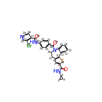 O=C(NC1CC1)c1cc2c(s1)-c1ccccc1N(C(=O)c1ccc(NC(=O)c3ccncc3Br)cc1)CC2